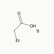 CCCC(=O)O.[Tl]